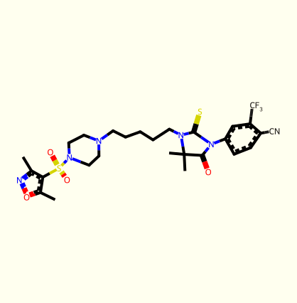 Cc1noc(C)c1S(=O)(=O)N1CCN(CCCCCN2C(=S)N(c3ccc(C#N)c(C(F)(F)F)c3)C(=O)C2(C)C)CC1